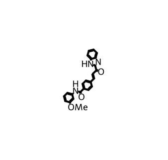 COc1cccc(NC(=O)c2ccc(C=CC(=O)c3nc4ccccc4[nH]3)cc2)c1